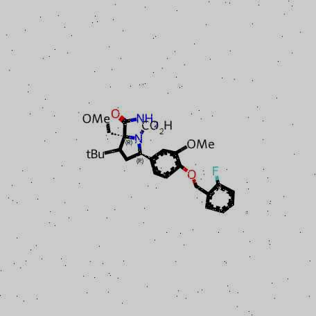 COC[C@@]1(C(N)=O)C(C(C)(C)C)C[C@H](c2ccc(OCc3ccccc3F)c(OC)c2)N1C(=O)O